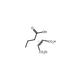 CCCC(=O)O.CCOC(=O)/C=C\C(=O)O